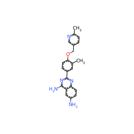 Cc1ccc(COc2ccc(-c3nc(N)c4cc(N)ccc4n3)cc2C)cn1